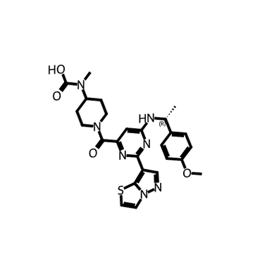 COc1ccc([C@@H](C)Nc2cc(C(=O)N3CCC(N(C)C(=O)O)CC3)nc(-c3cnn4ccsc34)n2)cc1